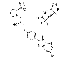 NC(=O)[C@@H]1CCCN1CC(O)COc1ccc(-c2nc3cc(Br)cnc3[nH]2)cc1.O=C(O)C(F)(F)F.O=C(O)C(F)(F)F